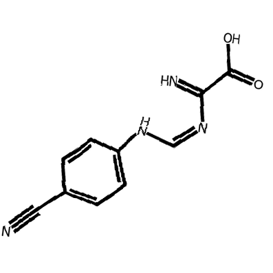 N#Cc1ccc(N/C=N\C(=N)C(=O)O)cc1